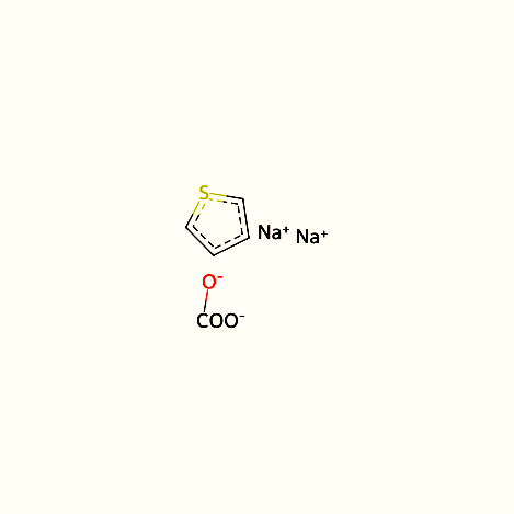 O=C([O-])[O-].[Na+].[Na+].c1ccsc1